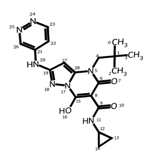 CC(C)(C)Cn1c(=O)c(C(=O)NC2CC2)c(O)n2nc(Nc3ccnnc3)cc12